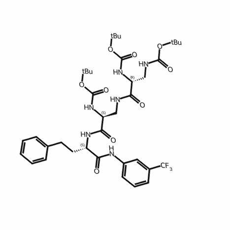 CC(C)(C)OC(=O)NC[C@@H](NC(=O)OC(C)(C)C)C(=O)NC[C@H](NC(=O)OC(C)(C)C)C(=O)N[C@@H](CCc1ccccc1)C(=O)Nc1cccc(C(F)(F)F)c1